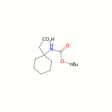 CCCCOC(=O)NC1(CC(=O)O)CCCCC1